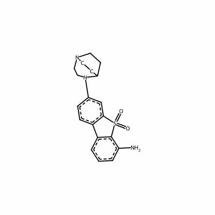 Nc1cccc2c1S(=O)(=O)c1cc(N3CCN4CCC3CC4)ccc1-2